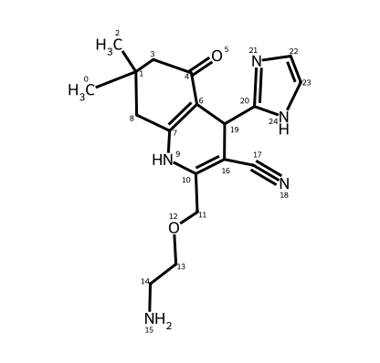 CC1(C)CC(=O)C2=C(C1)NC(COCCN)=C(C#N)C2c1ncc[nH]1